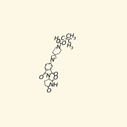 CC(C)(C)OC(=O)N1CCC2(CC1)CN(c1ccc3c(c1)C(=O)N(C1CCC(=O)NC1=O)C3=O)C2